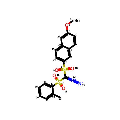 CCCCOc1ccc2cc(S(=O)(=O)C(=[N+]=[N-])S(=O)(=O)c3ccccc3C)ccc2c1